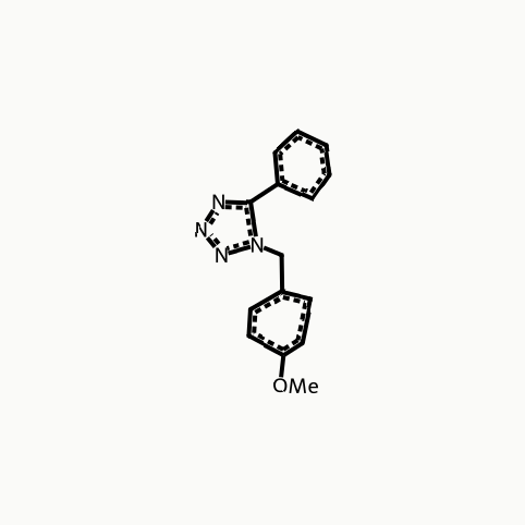 COc1ccc(Cn2nnnc2-c2ccccc2)cc1